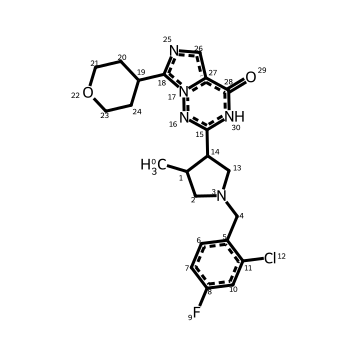 CC1CN(Cc2ccc(F)cc2Cl)CC1c1nn2c(C3CCOCC3)ncc2c(=O)[nH]1